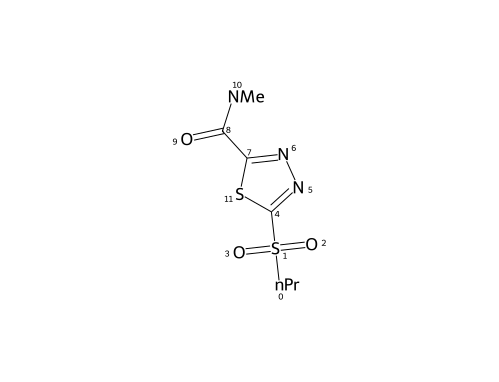 CCCS(=O)(=O)c1nnc(C(=O)NC)s1